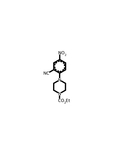 CCOC(=O)N1CCN(c2ccc([N+](=O)[O-])cc2C#N)CC1